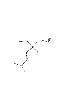 CCC(C)(CCC(C)C)OC=O